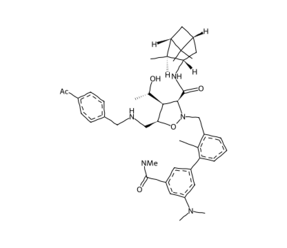 CNC(=O)c1cc(-c2cccc(CN3O[C@@H](CNCc4ccc(C(C)=O)cc4)[C@@H]([C@H](C)O)[C@H]3C(=O)N[C@H]3C[C@H]4C[C@@H]([C@@H]3C)C4(C)C)c2C)cc(N(C)C)c1